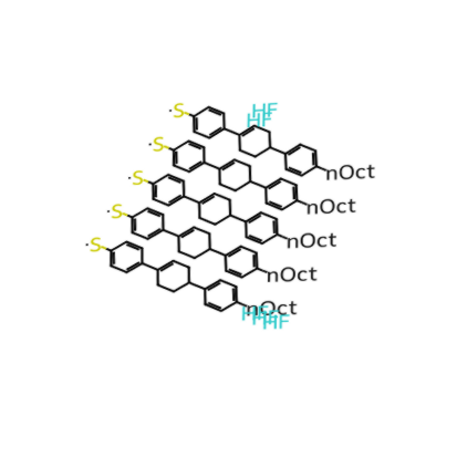 CCCCCCCCc1ccc(C2CC=C(c3ccc([S])cc3)CC2)cc1.CCCCCCCCc1ccc(C2CC=C(c3ccc([S])cc3)CC2)cc1.CCCCCCCCc1ccc(C2CC=C(c3ccc([S])cc3)CC2)cc1.CCCCCCCCc1ccc(C2CC=C(c3ccc([S])cc3)CC2)cc1.CCCCCCCCc1ccc(C2CC=C(c3ccc([S])cc3)CC2)cc1.F.F.F.F.F